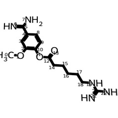 COc1cc(C(=N)N)ccc1OC(=O)CCCCCNC(=N)N